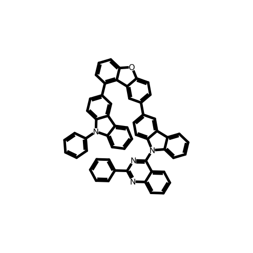 c1ccc(-c2nc(-n3c4ccccc4c4cc(-c5ccc6oc7cccc(-c8ccc9c(c8)c8ccccc8n9-c8ccccc8)c7c6c5)ccc43)c3ccccc3n2)cc1